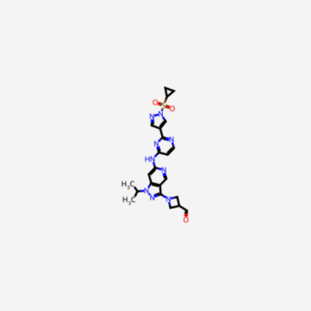 CC(C)n1nc(N2CC(C=O)C2)c2cnc(Nc3ccnc(-c4cnn(S(=O)(=O)C5CC5)c4)n3)cc21